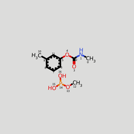 CNC(=O)Oc1cccc(C)c1.COP(O)O